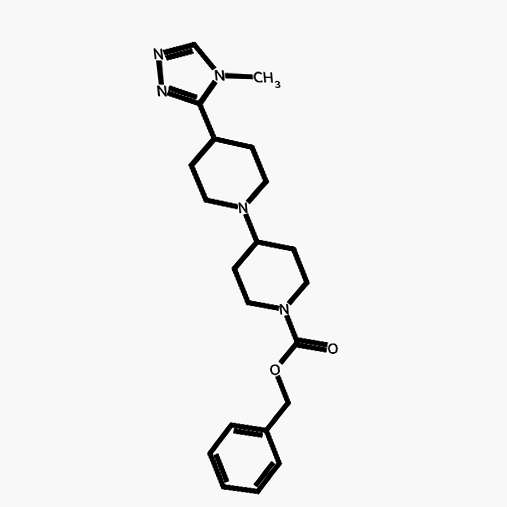 Cn1cnnc1C1CCN(C2CCN(C(=O)OCc3ccccc3)CC2)CC1